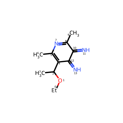 CCOC(C)C1=C(C)N=C(C)C(=N)C1=N